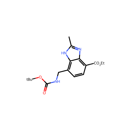 CCOC(=O)c1ccc(CNC(=O)OC(C)(C)C)c2[nH]c(C)nc12